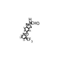 O=CNc1nc2ccc(Oc3ncccc3C(F)(F)F)cc2s1